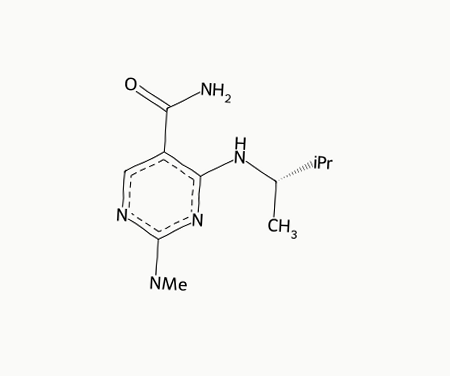 CNc1ncc(C(N)=O)c(N[C@@H](C)C(C)C)n1